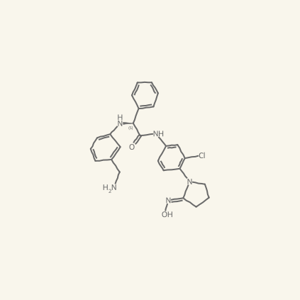 NCc1cccc(N[C@H](C(=O)Nc2ccc(N3CCCC3=NO)c(Cl)c2)c2ccccc2)c1